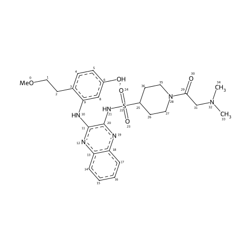 COCCc1ccc(O)cc1Nc1nc2ccccc2nc1NS(=O)(=O)C1CCN(C(=O)CN(C)C)CC1